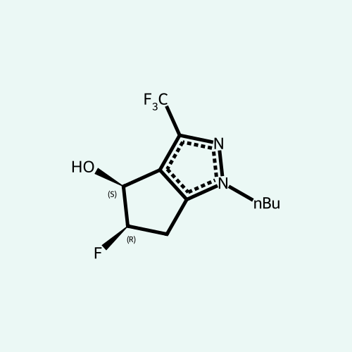 CCCCn1nc(C(F)(F)F)c2c1C[C@@H](F)[C@H]2O